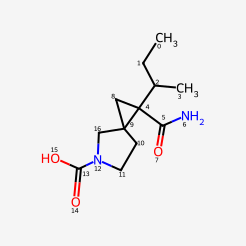 CCC(C)C1(C(N)=O)CC12CCN(C(=O)O)C2